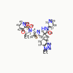 CC[C@@H]1CN(Cc2nc(C(c3ccc4c(nnn4CC)c3C)C(C)(C)C(=O)Nc3cccnc3)sc2C)S(=O)(=O)c2ncccc2O1